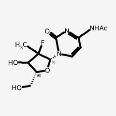 CC(=O)Nc1ccn([C@@H]2O[C@H](CO)C(O)C2(C)F)c(=O)n1